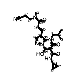 CC(C)Cn1c(=O)c(C(=O)NC2CC2)c(O)n2ncc(C=CC(=O)N(C)CCC#N)c12